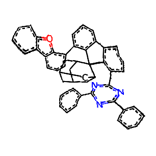 c1ccc(-c2nc(-c3ccccc3)nc(-c3cccc4c3C3(c5c-4cccc5-c4cccc5c4oc4ccccc45)C4CC5CC(C4)CC3C5)n2)cc1